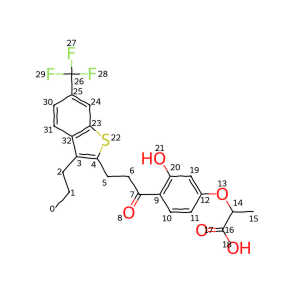 CCCc1c(CCC(=O)c2ccc(OC(C)C(=O)O)cc2O)sc2cc(C(F)(F)F)ccc12